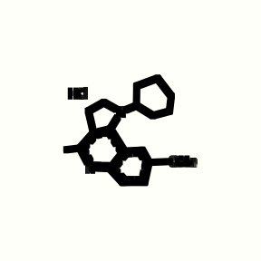 COc1ccc2nc(C)c3c(c2c1)N(C1CCCCC1)CC3.Cl